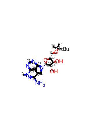 CN1N=C(N)c2cn([C@@H]3O[C@H](CO[Si](C)(C)C(C)(C)C)C(O)[C@@H]3O)c3ncnc1c23